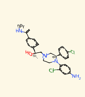 C=C(NCCC)c1ccc([C@](C)(O)CN2CCN(c3ccc(N)cc3Cl)[C@H](c3ccc(Cl)cc3)C2)cc1